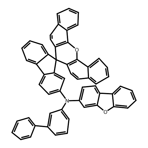 c1ccc(-c2cccc(N(c3ccc4c(c3)C3(c5ccccc5-4)c4ccc5ccccc5c4Oc4c3ccc3ccccc43)c3ccc4c(c3)oc3ccccc34)c2)cc1